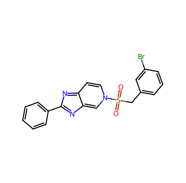 O=S(=O)(Cc1cccc(Br)c1)n1ccc2nc(-c3ccccc3)nc-2c1